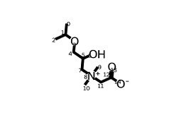 CC(C)OCC(O)C[N+](C)(C)CC(=O)[O-]